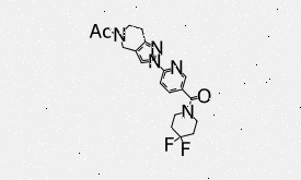 CC(=O)N1CCc2nn(-c3ccc(C(=O)N4CCC(F)(F)CC4)cn3)cc2C1